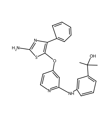 CC(C)(O)c1cccc(Nc2cc(Oc3sc(N)nc3-c3ccccc3)ccn2)c1